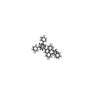 c1ccc(-c2nc(-c3ccccc3)nc(-c3cc4cccc5c6c7ccccc7sc6c6cccc3c6c45)n2)cc1